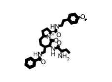 CC[C@H](N)C(=O)N[C@@H]1C(=O)N2C(CCC1CNC(=O)c1ccccc1)CC[C@H]2C(=O)NCCc1ccc(OC)cc1